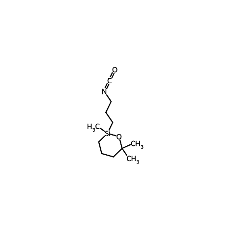 CC1(C)CCC[Si](C)(CCCN=C=O)O1